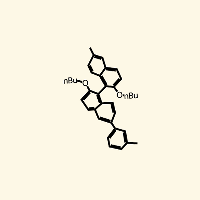 CCCCOc1ccc2cc(C)ccc2c1-c1c(OCCCC)ccc2cc(-c3cccc(C)c3)ccc12